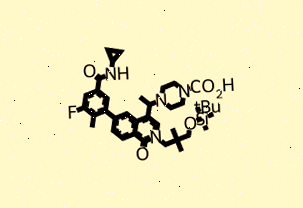 Cc1c(F)cc(C(=O)NC2CC2)cc1-c1ccc2c(=O)n(CC(C)(C)CO[Si](C)(C)C(C)(C)C)cc(C(C)N3CCN(C(=O)O)CC3)c2c1